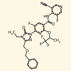 CCn1c(COCc2ccccc2)nn(-c2nc(OC(C)C(F)(F)F)c(C(=O)Nc3c(F)cncc3C#N)cc2F)c1=O